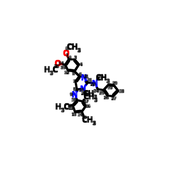 COc1ccc(-c2c/c(=N/c3c(C)cc(C)cc3C)n(C)c(N(C)Cc3ccccc3)n2)cc1OC